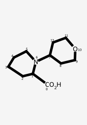 O=C(O)C1CCCCN1C1CCOCC1